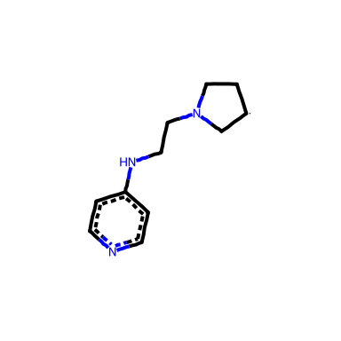 [CH]1CCN(CCNc2ccncc2)C1